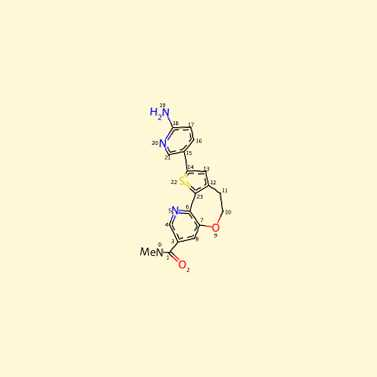 CNC(=O)c1cnc2c(c1)OCCc1cc(-c3ccc(N)nc3)sc1-2